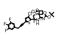 CC(C)(C)OC(=O)/N=C1/N[C@](C)(c2sc(C#CCc3cc(F)c(F)c(F)c3)cc2Cl)CS(=O)(=O)C12CCC2